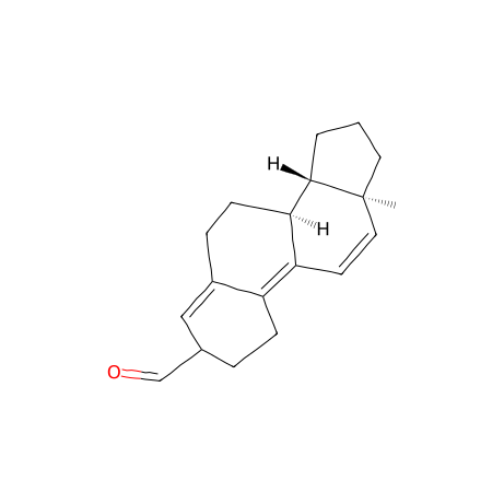 C[C@]12C=CC3=C4CCC(C=O)C=C4CC[C@H]3[C@@H]1CCC2